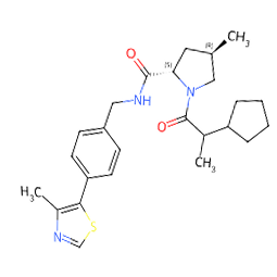 Cc1ncsc1-c1ccc(CNC(=O)[C@@H]2C[C@@H](C)CN2C(=O)C(C)C2CCCC2)cc1